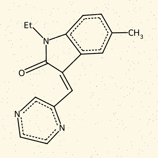 CCN1C(=O)C(=Cc2cnccn2)c2cc(C)ccc21